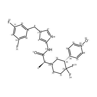 C[C@@H](C(=O)Nc1cn(Cc2cc(F)cc(F)c2)cn1)N1CCC(F)(F)[C@@H](c2cc[n+]([O-])cc2)C1